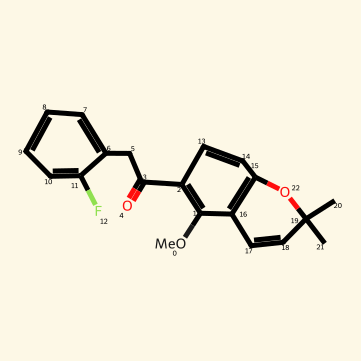 COc1c(C(=O)Cc2ccccc2F)ccc2c1C=CC(C)(C)O2